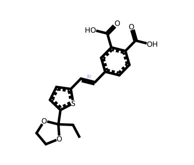 CCC1(c2ccc(/C=C/c3ccc(C(=O)O)c(C(=O)O)c3)s2)OCCO1